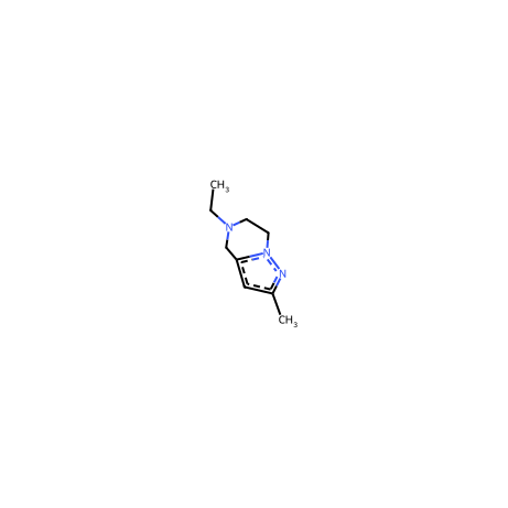 CCN1CCn2nc(C)cc2C1